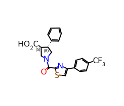 O=C(O)[C@@H]1CN(C(=O)c2nc(-c3ccc(C(F)(F)F)cc3)cs2)C[C@H]1c1ccccc1